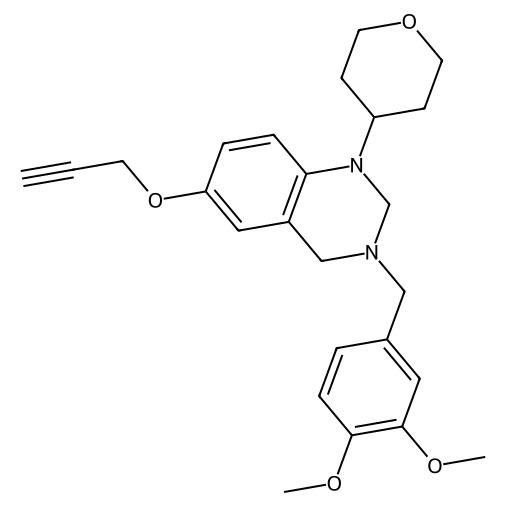 C#CCOc1ccc2c(c1)CN(Cc1ccc(OC)c(OC)c1)CN2C1CCOCC1